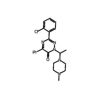 CC(C)c1nc(-c2ccccc2Cl)nn(C(C)N2CCN(C)CC2)c1=O